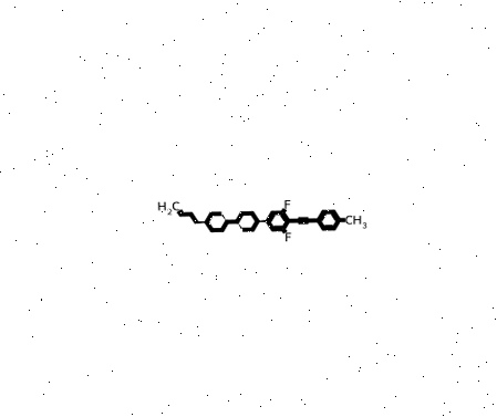 C=CCC[C@H]1CC[C@H]([C@H]2CC[C@H](c3cc(F)c(C#Cc4ccc(C)cc4)c(F)c3)CC2)CC1